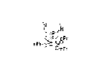 CCCO[Si](CCCN(C)C)(OCCC)O[Si](CCCN(C)C)(OCCC)OCCC